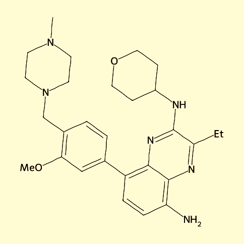 CCc1nc2c(N)ccc(-c3ccc(CN4CCN(C)CC4)c(OC)c3)c2nc1NC1CCOCC1